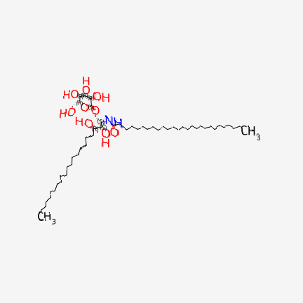 CCCCCCCCCCCCCCCCCCCCCCCCCCC(=O)N[C@@H](CO[C@H]1O[C@H](CO)[C@H](O)[C@H](O)[C@H]1O)[C@H](O)[C@H](O)CCCCCCCCCCCCCCCCCCC